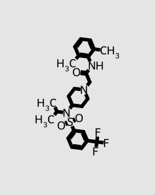 Cc1cccc(C)c1NC(=O)CN1CCC(N(C(C)C)S(=O)(=O)c2cccc(C(F)(F)F)c2)CC1